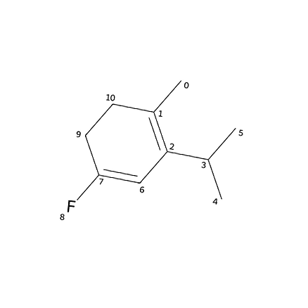 CC1=C(C(C)C)C=C(F)CC1